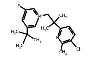 Cc1nc(C(C)(C)C[n+]2cc(F)cc(C(C)(C)C)c2)ccc1Cl